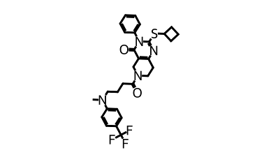 CN(CCCC(=O)N1CCc2nc(SC3CCC3)n(-c3ccccc3)c(=O)c2C1)c1ccc(C(F)(F)F)cc1